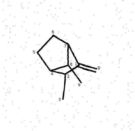 C=C1C(C)C2CCC1C2C